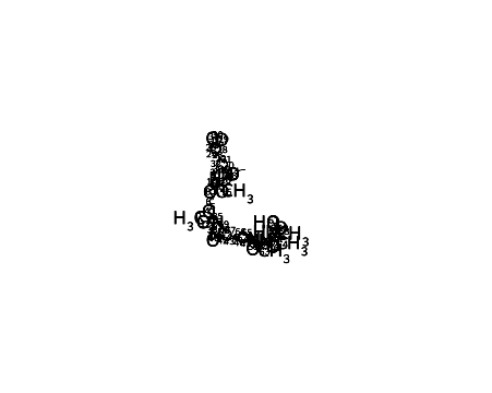 COc1c(OCCCOc2cn3c(c2OC)C=[N+]([O-])C2=CC=C(c4ccc5c(c4)OCO5)CC2C3)cn2c1C=[N+]([O-])C1=CC=C(c3ccc(NC(=O)C(C)NC(=O)C(NC(=O)O)C(C)C)cc3)CC1C2